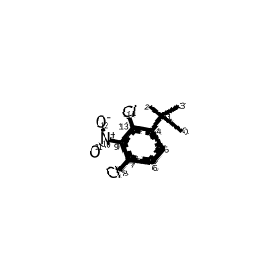 CC(C)(C)c1ccc(Cl)c([N+](=O)[O-])c1Cl